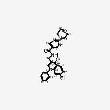 O=C(NCc1cn(-c2ccccc2)c2cc(Cl)ccc2c1=O)c1cnc(N2CCOCC2)nc1